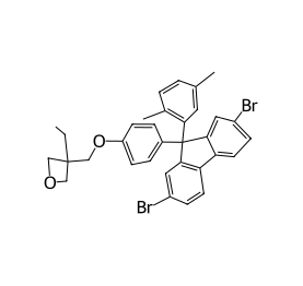 CCC1(COc2ccc(C3(c4cc(C)ccc4C)c4cc(Br)ccc4-c4ccc(Br)cc43)cc2)COC1